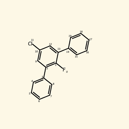 Fc1c(-c2ccccc2)cc(Cl)cc1-c1ccccc1